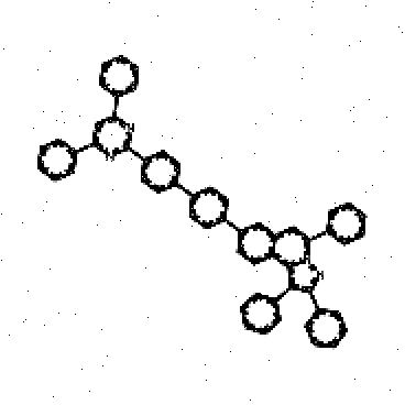 c1ccc(-c2cc(-c3ccccc3)nc(-c3ccc(-c4ccc(-c5ccc6c(c5)cc(-c5ccccc5)n5nc(-c7ccccc7)c(-c7ccccc7)c65)cc4)cc3)n2)cc1